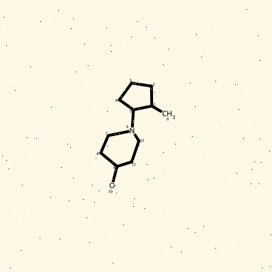 CC1CCCC1N1CCC([O])CC1